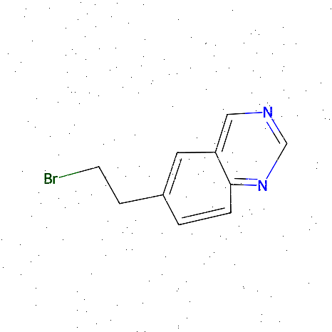 BrCCc1ccc2ncncc2c1